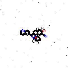 Cc1nc(-c2ccc3ncccc3c2)c2c(n1)[C@@]1(c3ccccc3)C=C(C#N)C(=O)[C@@H](C)[C@@H]1CC2